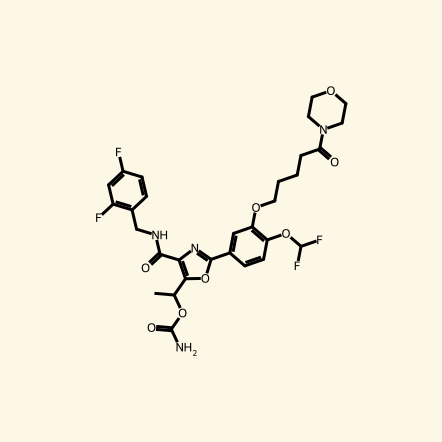 CC(OC(N)=O)c1oc(-c2ccc(OC(F)F)c(OCCCCC(=O)N3CCOCC3)c2)nc1C(=O)NCc1ccc(F)cc1F